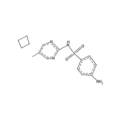 C1CCC1.Cc1cnc(NS(=O)(=O)c2ccc(N)cc2)nc1